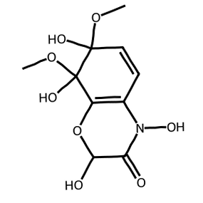 COC1(O)C=CC2=C(OC(O)C(=O)N2O)C1(O)OC